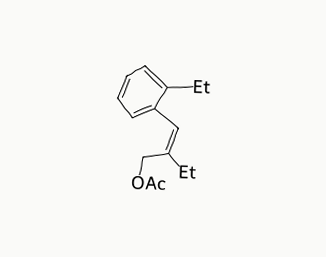 CCC(=Cc1ccccc1CC)COC(C)=O